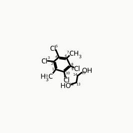 Cc1c(Cl)c(Cl)c(C)c(Cl)c1Cl.OCCO